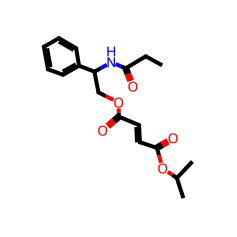 CCC(=O)NC(COC(=O)/C=C/C(=O)OC(C)C)c1ccccc1